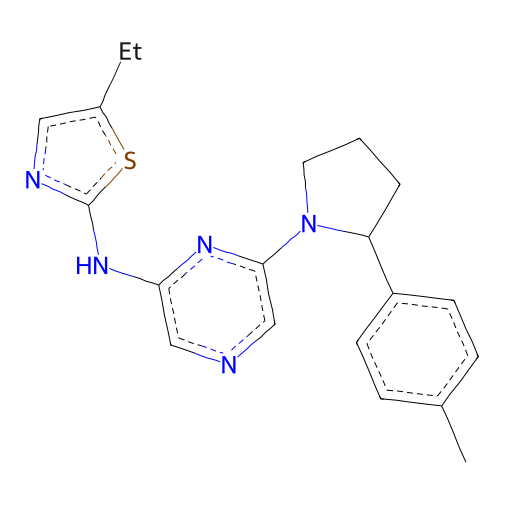 CCc1cnc(Nc2cncc(N3CCCC3c3ccc(C)cc3)n2)s1